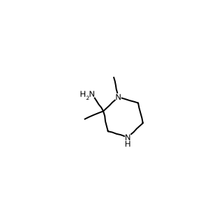 CN1CCNCC1(C)N